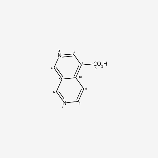 O=C(O)c1cncc2cnccc12